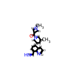 C[C@@H]1C[C@@H](c2ccc(C=N)c3ncccc23)CN(C(=O)C2CN(C)C2)C1